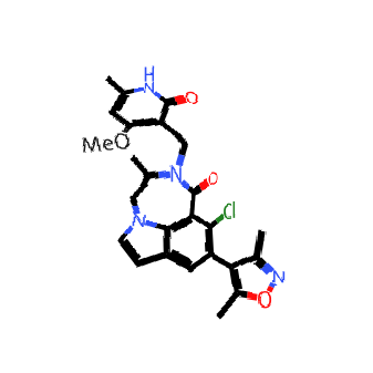 COc1cc(C)[nH]c(=O)c1CN1C(=O)c2c(Cl)c(-c3c(C)noc3C)cc3ccn(c23)CC1C